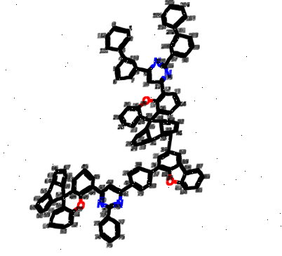 c1ccc(-c2cccc(-c3cc(-c4cccc5c4Oc4ccccc4C54c5ccccc5-c5c(-c6cc(-c7ccc(-c8cc(-c9cccc%10c9Oc9ccccc9C%109c%10ccccc%10-c%10ccccc%109)nc(-c9ccccc9)n8)cc7)c7oc8ccccc8c7c6)cccc54)nc(-c4cccc(-c5ccccc5)c4)n3)c2)cc1